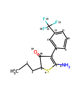 CCCC1SC(N)=C(c2cccc(C(F)(F)F)c2)C1=O